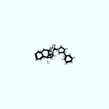 CC1(C)[C@H]2Cc3ccccc3[C@]1(C)CCN2C(=O)N1CCC(c2ccccc2)C1